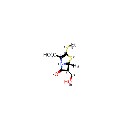 CCSC1=C(C(=O)O)N2C(=O)[C@@H](CO)[C@H]2S1